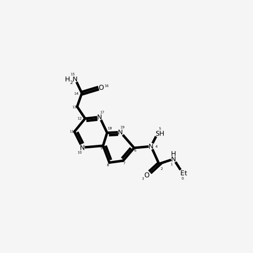 CCNC(=O)N(S)c1ccc2ncc(CC(N)=O)nc2n1